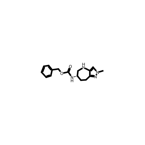 Cn1cc2c(n1)CC[C@H](NC(=O)OCc1ccccc1)CN2